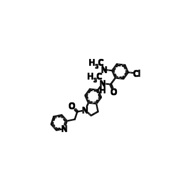 CN(C)c1ccc(Cl)cc1C(=O)Nc1ccc2c(c1)CCN2C(=O)Cc1ccccn1